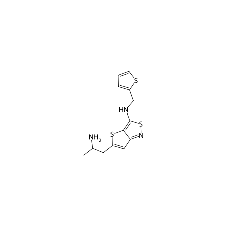 CC(N)Cc1cc2nsc(NCc3cccs3)c2s1